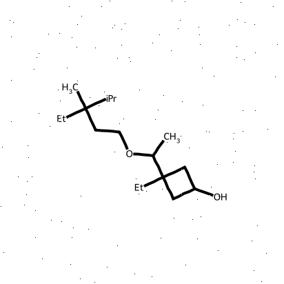 CCC(C)(CCOC(C)C1(CC)CC(O)C1)C(C)C